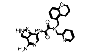 Nc1ncc(NC(=O)C(=O)N(Cc2ccccn2)Cc2cccc3c2CCCO3)c2n[nH]cc12